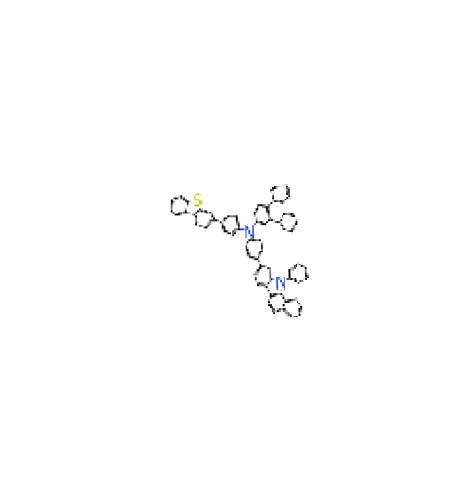 c1ccc(-c2ccc(N(c3ccc(-c4ccc5c(c4)sc4ccccc45)cc3)c3ccc(-c4ccc5c6ccc7ccccc7c6n(-c6ccccc6)c5c4)cc3)cc2-c2ccccc2)cc1